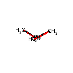 CCCCCCCCCCCCCCCCCC(=O)NCC(NC(=O)CCCCCCCCCCCCCCCCC)C(=O)O